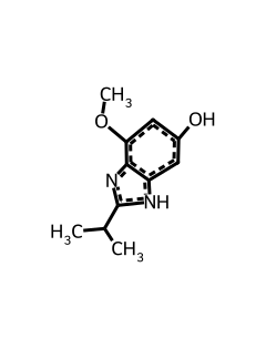 COc1cc(O)cc2[nH]c(C(C)C)nc12